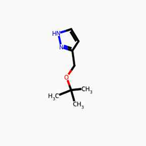 CC(C)(C)OCc1cc[nH]n1